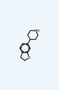 c1cc2c(cc1C1CCNCC1)OCC2